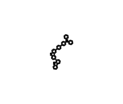 c1ccc(N(c2ccccc2)c2ccc(-c3ccc(-c4ccc5sc6ccc(-c7cccc8c7sc7ccccc78)cc6c5c4)cc3)cc2)cc1